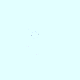 C=Cc1ccc(C[N+](CCO)(CCO)CCO)cc1